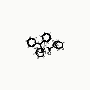 O=C(NC1(C(c2ccccc2)c2ccccc2)CC2CCN1CC2)C1CC2CCC1C2